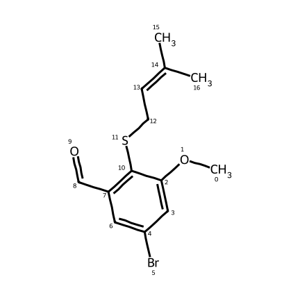 COc1cc(Br)cc(C=O)c1SCC=C(C)C